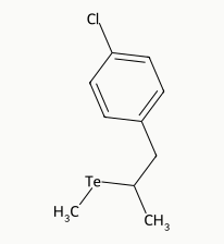 C[Te]C(C)Cc1ccc(Cl)cc1